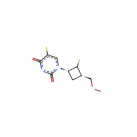 CCCCOC[C@H]1C[C@@H](n2cc(F)c(=O)[nH]c2=O)C1F